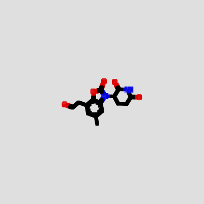 Cc1cc(CC=O)c2oc(=O)n(C3CCC(=O)NC3=O)c2c1